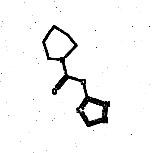 O=C(Oc1nncs1)N1CCCCC1